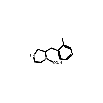 Cc1ccccc1CC1CNCCN1C(=O)O